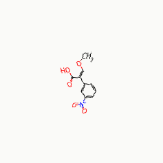 COC=C(C(=O)O)c1cccc([N+](=O)[O-])c1